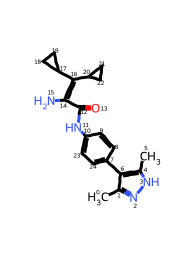 Cc1n[nH]c(C)c1-c1ccc(NC(=O)C(N)=C(C2CC2)C2CC2)cc1